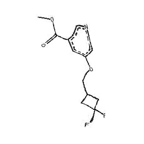 COC(=O)c1cncc(OCC2CC(F)(F)C2)c1